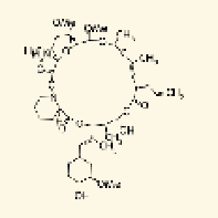 C=CC[C@@H]1/C=C(\C)C[C@H](C)C[C@H](OC)[C@H]2OC(N)(C(=O)CN3CCCC[C@H]3C(=O)O[C@H](/C(C)=C/[C@@H]3CC[C@@H](O)[C@H](OC)C3)[C@H](C)[C@@H](O)CC1=O)[C@H](C)C[C@@H]2OC